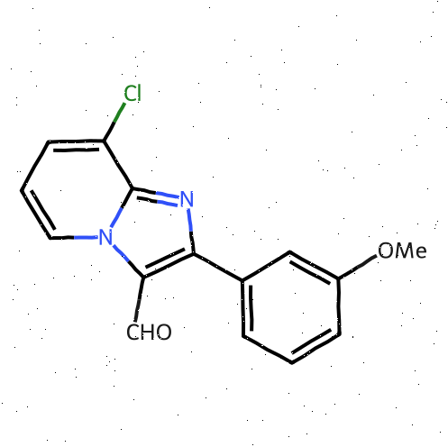 COc1cccc(-c2nc3c(Cl)cccn3c2C=O)c1